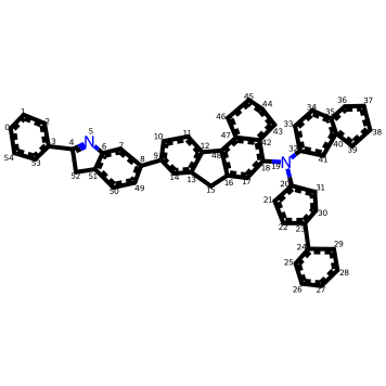 c1ccc(C2=Nc3cc(-c4ccc5c(c4)Cc4cc(N(c6ccc(-c7ccccc7)cc6)c6ccc7ccccc7c6)c6ccccc6c4-5)ccc3C2)cc1